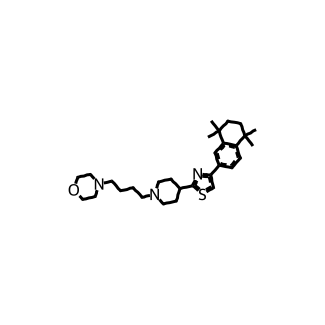 CC1(C)CCC(C)(C)c2cc(-c3csc(C4CCN(CCCCN5CCOCC5)CC4)n3)ccc21